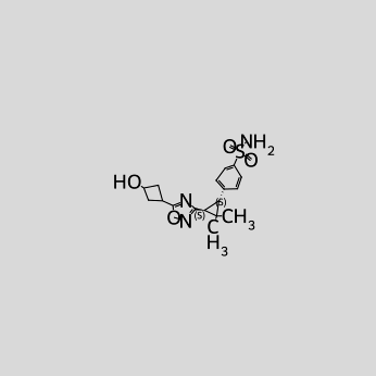 CC1(C)[C@@H](c2ccc(S(N)(=O)=O)cc2)[C@@H]1c1noc(C2CC(O)C2)n1